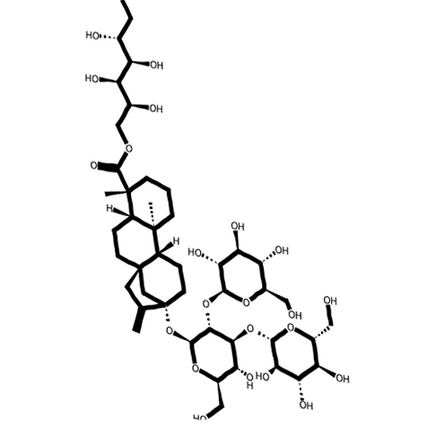 C=C1C[C@@]23CC[C@H]4[C@@](C)(CCC[C@@]4(C)C(=O)OC[C@H](O)[C@@H](O)[C@H](O)[C@H](O)CO)[C@@H]2CC[C@]1(O[C@@H]1O[C@H](CO)[C@@H](O)[C@H](O[C@@H]2O[C@H](CO)[C@@H](O)[C@H](O)[C@H]2O)[C@H]1O[C@@H]1O[C@H](CO)[C@@H](O)[C@H](O)[C@H]1O)C3